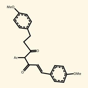 COc1ccc(C=CC(=O)C(C(C)=O)C(=O)CCc2ccc(OC)cc2)cc1